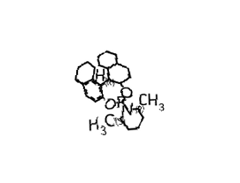 C[C@@H]1CCC[C@H](C)N1P1Oc2ccc3c(c2[C@@H]2C(CCC4CCCCC42)O1)CCCC3